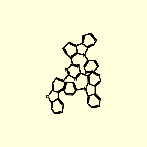 c1ccc(-n2c3ccccc3c3cccc(-c4nc(-c5ccc6oc7ccccc7c6c5)nc(-c5cccc6c7ccccc7n(-c7ccccc7)c56)n4)c32)cc1